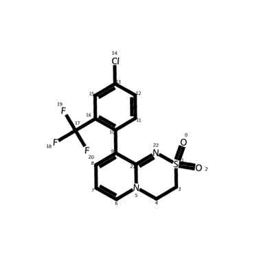 O=S1(=O)CCN2C=CC=C(c3ccc(Cl)cc3C(F)(F)F)C2=N1